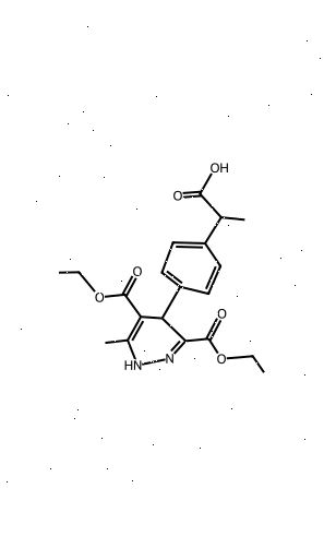 CCOC(=O)C1=NNC(C)=C(C(=O)OCC)C1c1ccc(C(C)C(=O)O)cc1